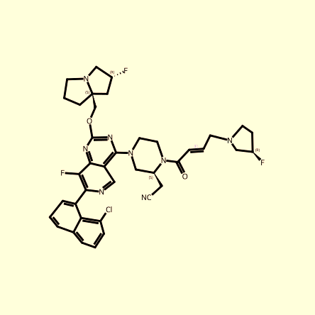 N#CC[C@H]1CN(c2nc(OC[C@@]34CCCN3C[C@H](F)C4)nc3c(F)c(-c4cccc5cccc(Cl)c45)ncc23)CCN1C(=O)/C=C/CN1CC[C@@H](F)C1